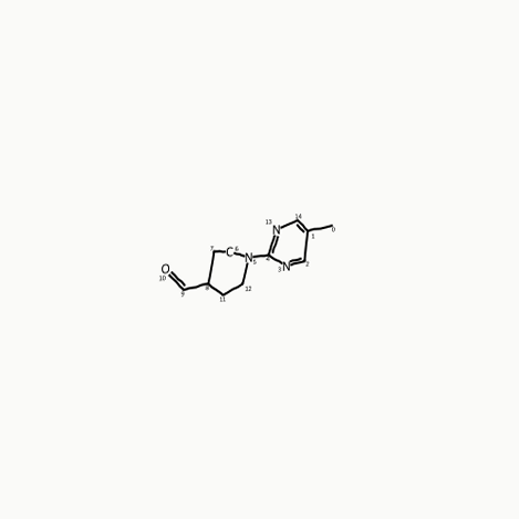 Cc1cnc(N2CCC(C=O)CC2)nc1